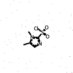 Cc1cnc(S(=O)(=O)Cl)n1C